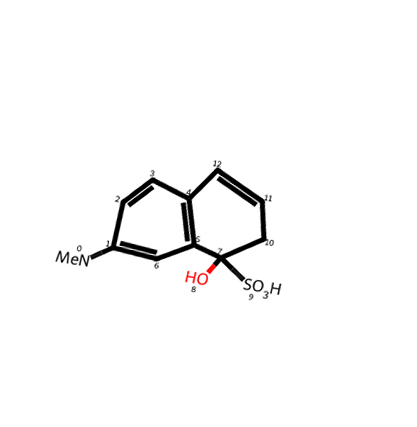 CNc1ccc2c(c1)C(O)(S(=O)(=O)O)CC=C2